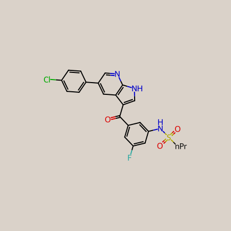 CCCS(=O)(=O)Nc1cc(F)cc(C(=O)c2c[nH]c3ncc(-c4ccc(Cl)cc4)cc23)c1